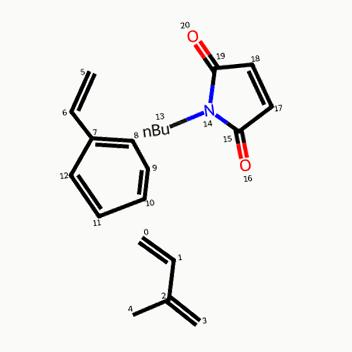 C=CC(=C)C.C=Cc1ccccc1.CCCCN1C(=O)C=CC1=O